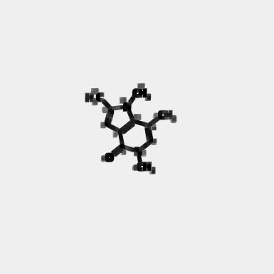 Cc1cn(C)c(=O)c2cc(C)n(C)c12